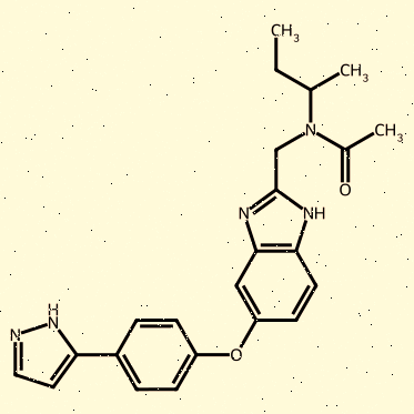 CCC(C)N(Cc1nc2cc(Oc3ccc(-c4ccn[nH]4)cc3)ccc2[nH]1)C(C)=O